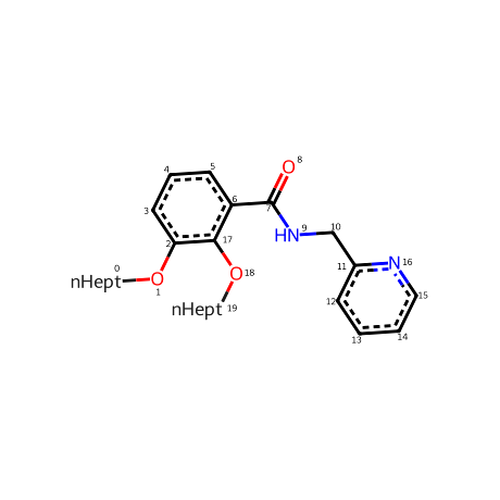 CCCCCCCOc1cccc(C(=O)NCc2ccccn2)c1OCCCCCCC